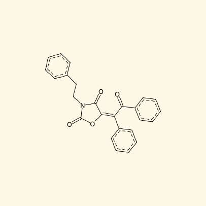 O=C(C(=C1OC(=O)N(CCc2ccccc2)C1=O)c1ccccc1)c1ccccc1